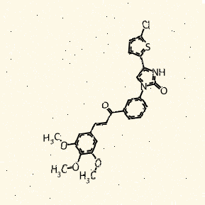 COc1cc(C=CC(=O)c2cccc(-n3cc(-c4ccc(Cl)s4)[nH]c3=O)c2)cc(OC)c1OC